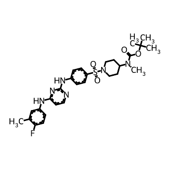 Cc1cc(Nc2ccnc(Nc3ccc(S(=O)(=O)N4CCC(N(C)C(=O)OC(C)(C)C)CC4)cc3)n2)ccc1F